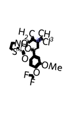 C=C(Cl)/C(C[C@H](OC(=O)[C@H]1NCCS1)c1ccc(OC(F)F)c(OC)c1)=C(\C)Cl